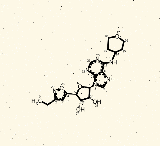 CCc1cc([C@H]2O[C@@H](n3cnc4c(NC5CCOCC5)ncnc43)[C@H](O)[C@@H]2O)on1